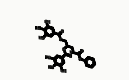 O=C(NCC(COC(=O)c1cc(O)c(O)c(O)c1)OC(=O)c1cc(O)c(O)c(O)c1)Oc1ccccc1